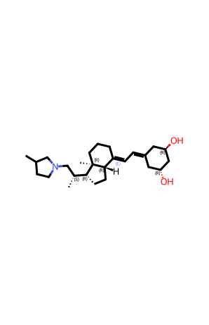 CC1CCN(C[C@@H](C)[C@H]2CC[C@H]3/C(=C/C=C4C[C@@H](O)C[C@H](O)C4)CCC[C@]23C)C1